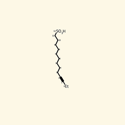 CCC#CCCCCCCCCCS(=O)(=O)O